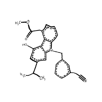 COC(=O)c1cccc2c1c1c(O)cc(C(C)C)cc1n2Cc1cccc(C#N)c1